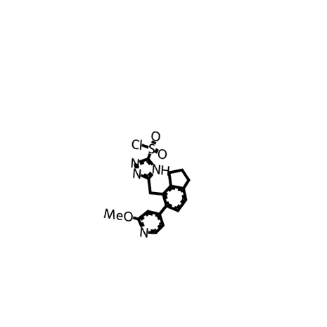 COc1cc(-c2ccc3c(c2Cc2nnc(S(=O)(=O)Cl)[nH]2)CCC3)ccn1